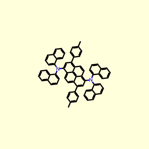 Cc1ccc(-c2cc(N(c3cccc4ccccc34)c3cccc4ccccc34)c3ccc4c(-c5ccc(C)cc5)cc(N(c5cccc6ccccc56)c5cccc6ccccc56)c5ccc2c3c45)cc1